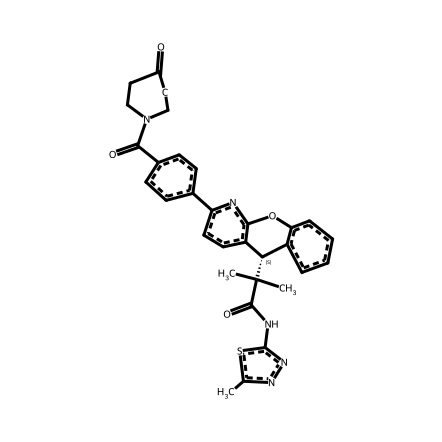 Cc1nnc(NC(=O)C(C)(C)[C@H]2c3ccccc3Oc3nc(-c4ccc(C(=O)N5CCC(=O)CC5)cc4)ccc32)s1